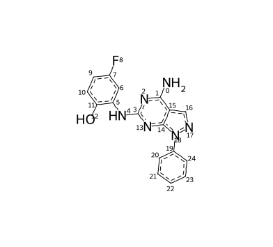 Nc1nc(Nc2cc(F)ccc2O)nc2c1cnn2-c1ccccc1